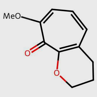 COc1cccc2c(c1=O)OCCC2